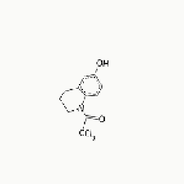 O=C(N1CCCc2cc(O)ccc21)C(Cl)(Cl)Cl